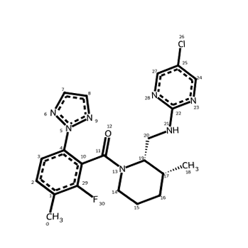 Cc1ccc(-n2nccn2)c(C(=O)N2CCC[C@@H](C)[C@H]2CNc2ncc(Cl)cn2)c1F